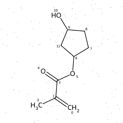 C=C(C)C(=O)OC1CCC(O)C1